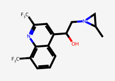 CC1CN1CC(O)c1cc(C(F)(F)F)nc2c(C(F)(F)F)cccc12